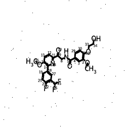 COc1cc(C(=O)NCC(=O)c2ccc(OC)c(-c3ccc(F)c(C(F)F)c3)n2)ccc1OCCO